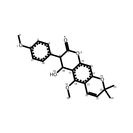 COc1ccc(C2C(=O)Oc3cc4c(c(OC)c3C2O)C=CC(C)(C)O4)cc1